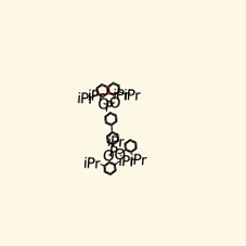 CC(C)c1cccc(C(C)C)c1OP(Oc1c(C(C)C)cccc1C(C)C)c1ccc(-c2ccc(P(Oc3c(C(C)C)cccc3C(C)C)Oc3c(C(C)C)cccc3C(C)C)cc2)cc1